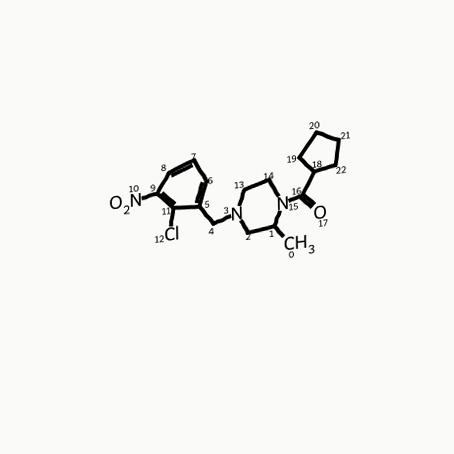 CC1CN(Cc2cccc([N+](=O)[O-])c2Cl)CCN1C(=O)C1CCCC1